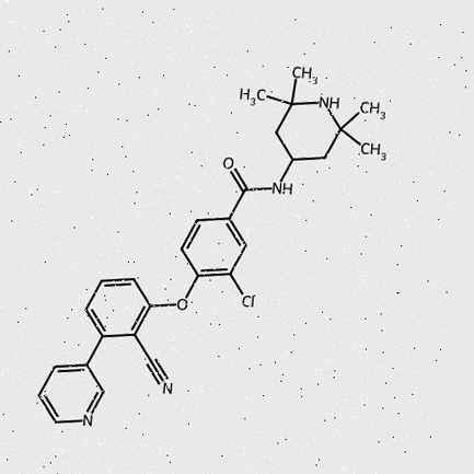 CC1(C)CC(NC(=O)c2ccc(Oc3cccc(-c4cccnc4)c3C#N)c(Cl)c2)CC(C)(C)N1